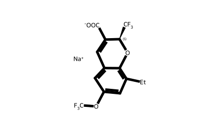 CCc1cc(OC(F)(F)F)cc2c1O[C@H](C(F)(F)F)C(C(=O)[O-])=C2.[Na+]